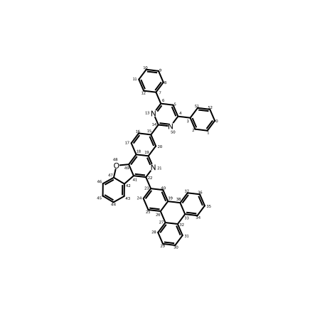 c1ccc(-c2cc(-c3ccccc3)nc(-c3ccc4c(c3)nc(-c3ccc5c6ccccc6c6ccccc6c5c3)c3c5ccccc5oc43)n2)cc1